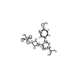 COc1ccc(N2CN(C(C)C)N=C2N2CC(OS(C)(=O)=O)C2)cn1